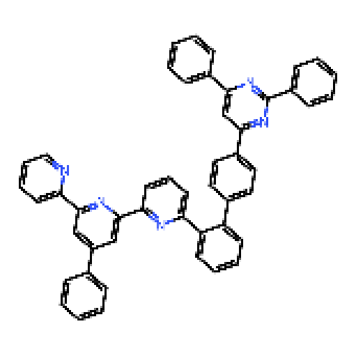 c1ccc(-c2cc(-c3ccccn3)nc(-c3cccc(-c4ccccc4-c4ccc(-c5cc(-c6ccccc6)nc(-c6ccccc6)n5)cc4)n3)c2)cc1